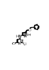 Clc1cc(Nc2cc(COCc3ccccc3)[nH]n2)nc(Cl)n1